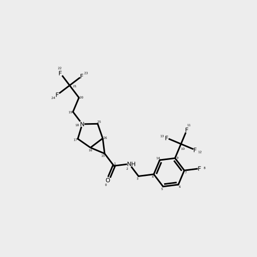 O=C(NCc1ccc(F)c(C(F)(F)F)c1)C1C2CN(CCC(F)(F)F)CC21